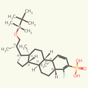 C[C@H](CO[Si](C)(C)C(C)(C)C)[C@H]1CC[C@H]2[C@@H]3CC[C@H]4C(F)=C(P(=O)(O)O)C=C[C@]4(C)[C@H]3CC[C@]12C